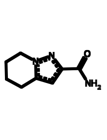 NC(=O)c1cc2n(n1)CCCC2